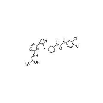 CC(O)CNc1nccc(-n2ccnc2Cc2cccc(NC(=O)Nc3ccc(Cl)c(Cl)c3)c2)n1